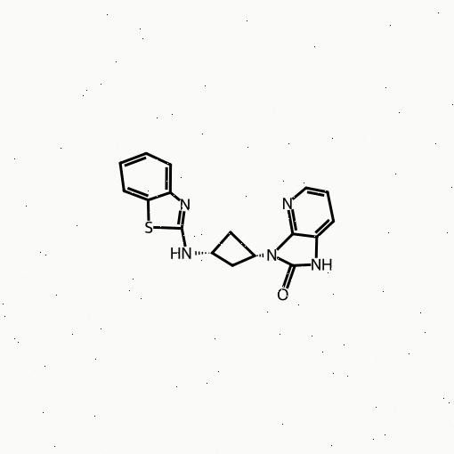 O=c1[nH]c2cccnc2n1[C@H]1C[C@@H](Nc2nc3ccccc3s2)C1